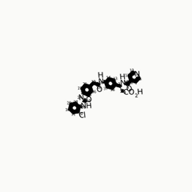 O=C(O)C[C@@H](NC(=O)c1ccncc1)c1ccc(NC(=O)Cc2ccc3nc(Nc4ccccc4Cl)oc3c2)cc1